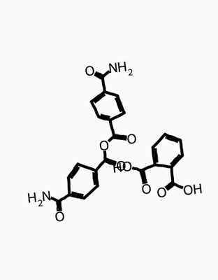 NC(=O)c1ccc(C(=O)OC(=O)c2ccc(C(N)=O)cc2)cc1.O=C(O)c1ccccc1C(=O)O